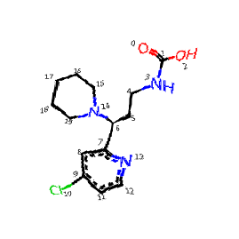 O=C(O)NCC[C@@H](c1cc(Cl)ccn1)N1CCCCC1